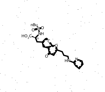 CCCCS(=O)(=O)N[C@@H](Cc1ccc2oc(CCCNc3ccccn3)cc(=O)c2c1)C(=O)O